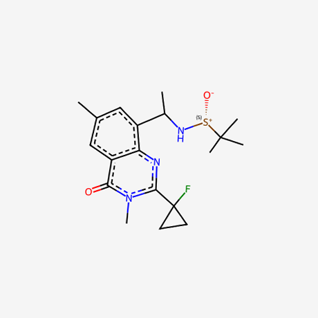 Cc1cc(C(C)N[S@+]([O-])C(C)(C)C)c2nc(C3(F)CC3)n(C)c(=O)c2c1